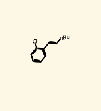 CCCCC=Cc1ccccc1Cl